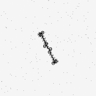 O=C(C=CC1O[C@H]1OCCCCCCN1CCCC1=O)OCCCCCCN1CCCC1=O